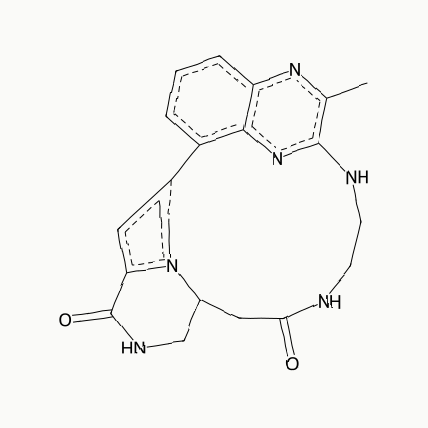 Cc1nc2cccc3c2nc1NCCNC(=O)CC1CNC(=O)c2cc-3cn21